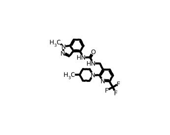 CC1CCN(c2nc(C(F)(F)F)ccc2CNC(=O)Nc2cccc3c2cnn3C)CC1